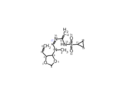 C=CC1OCOC1N(C)/C=N\C(=C)NS(=O)(=O)C1CC1